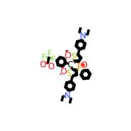 CCN(CC)c1ccc(-c2cc3c(s2)[C+](c2c(OC)cccc2OC)c2sc(-c4ccc(N(CC)CC)cc4)cc2P3(=O)c2ccccc2)cc1.O=C([O-])C(F)(F)F